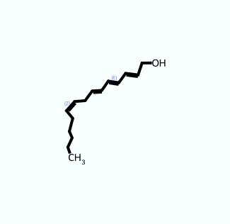 CCCCC/C=C\CC=C/C=C/C=CCO